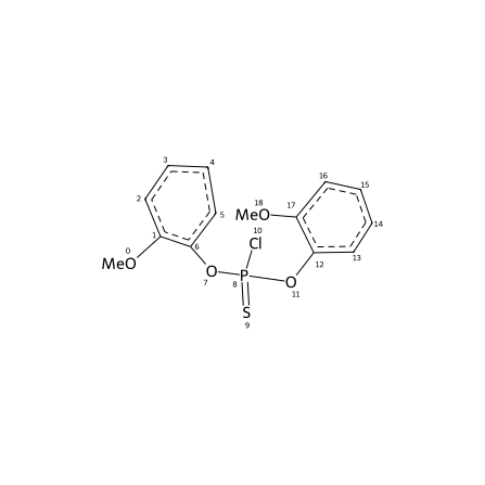 COc1ccccc1OP(=S)(Cl)Oc1ccccc1OC